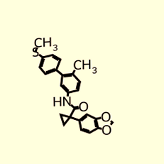 CSc1ccc(-c2cc(NC(=O)C3(c4ccc5c(c4)OCO5)CC3)ccc2C)cc1